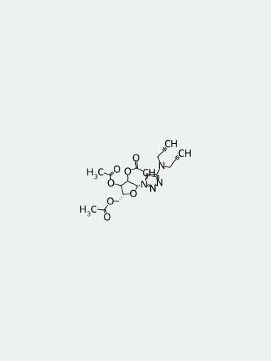 C#CCN(CC#C)c1cn([C@@H]2O[C@H](COC(C)=O)C(OC(C)=O)C2OC(C)=O)nn1